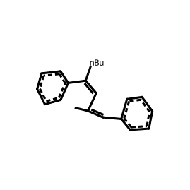 CCCCC(=CC(C)=Cc1ccccc1)c1ccccc1